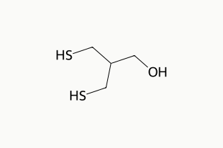 OCC(CS)CS